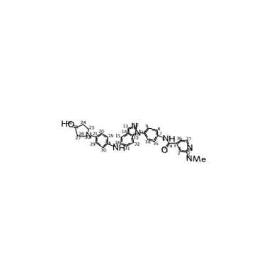 CNc1cc(C(=O)Nc2ccc(-n3ncc4cc(Nc5ccc(N6CCC(O)CC6)cc5)ccc43)cc2)ccn1